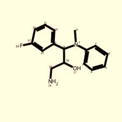 CN(c1ccccc1)C(c1cccc(F)c1)C(O)CN